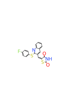 O=C1NC(=O)/C(=C\c2cc3ccccc3nc2Sc2ccc(F)cc2)S1